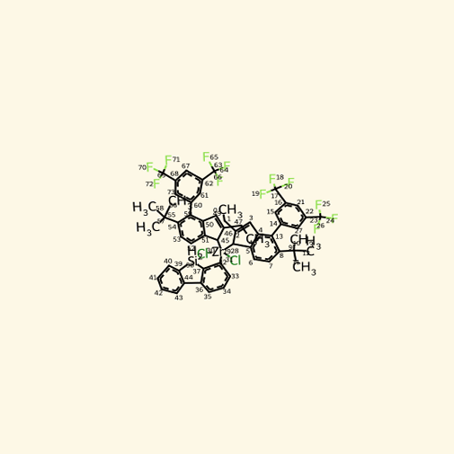 CCC1=Cc2c(ccc(C(C)(C)C)c2-c2cc(C(F)(F)F)cc(C(F)(F)F)c2)[CH]1[Zr]([Cl])([Cl])([c]1cccc2c1[SiH2]c1ccccc1-2)[CH]1C(CC)=Cc2c1ccc(C(C)(C)C)c2-c1cc(C(F)(F)F)cc(C(F)(F)F)c1